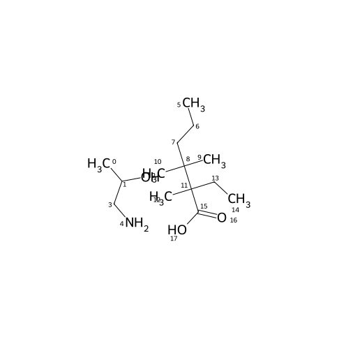 CC(O)CN.CCCC(C)(C)C(C)(CC)C(=O)O